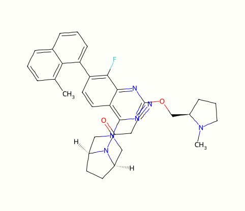 Cc1cccc2cccc(-c3ccc4c(N5C[C@H]6CC[C@@H](C5)N6C(=O)CC#N)nc(OC[C@H]5CCCN5C)nc4c3F)c12